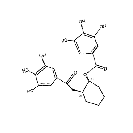 O=C(C[C@@H]1CCCC[C@@H]1OC(=O)c1cc(O)c(O)c(O)c1)c1cc(O)c(O)c(O)c1